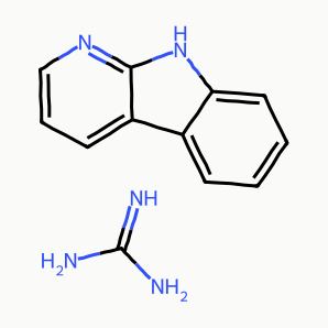 N=C(N)N.c1ccc2c(c1)[nH]c1ncccc12